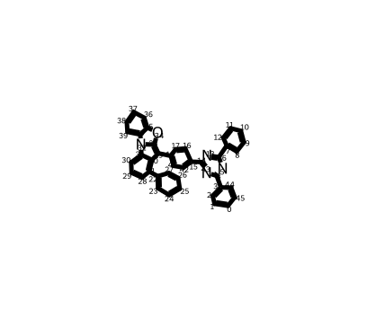 c1ccc(-c2nc(-c3ccccc3)nc(-c3ccc(-c4c5c(-c6ccccc6)cccc5n5c4oc4ccccc45)cc3)n2)cc1